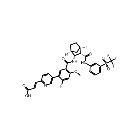 COc1cc(F)c(-c2ccc(/C=C/C(=O)O)nc2)cc1C(=O)N[C@@H]1[C@H]2CC[C@H](C2)[C@@H]1C(=O)Nc1cccc(S(=O)(=O)C(F)(F)F)c1